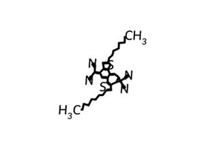 CCCCCCCCc1cc2c(s1)-c1cc(=C(C#N)C#N)c3cc(CCCCCCCC)sc3c1=CC1C2C1(C#N)C#N